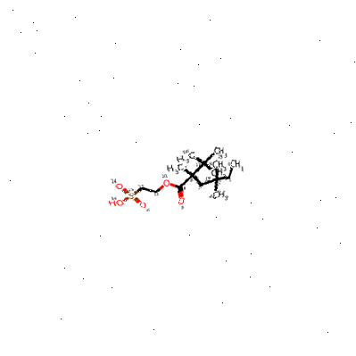 CCC(C)(C)CC(C)(C(=O)OCCS(=O)(=O)O)C(C)(C)C